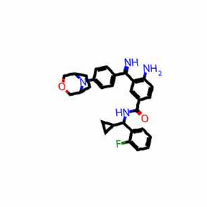 N=C(c1ccc(N2C3CCC2COC3)cc1)c1cc(C(=O)NC(c2ccccc2F)C2CC2)ccc1N